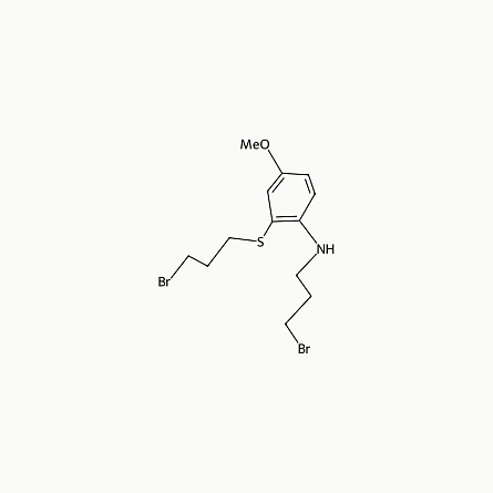 COc1ccc(NCCCBr)c(SCCCBr)c1